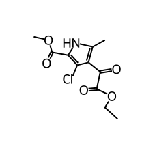 CCOC(=O)C(=O)c1c(C)[nH]c(C(=O)OC)c1Cl